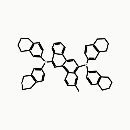 Cc1ccc2c(c1)c(N(c1ccc3c(c1)CCCC3)c1ccc3c(c1)CCCC3)cc1c3ccccc3c(N(c3ccc4c(c3)CCCC4)c3ccc4c(c3)CCCC4)cc21